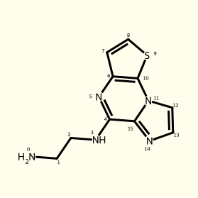 NCCNc1nc2ccsc2n2ccnc12